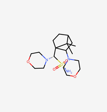 CC1(C)C2CCC1([C@@H](N1CCOCC1)S(N)(=O)=O)C(N1CCOCC1)C2